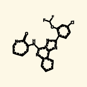 O=c1nccccc1Nc1nc2ccccc2c2nc(-c3ccc(Cl)cc3OC(F)F)nn12